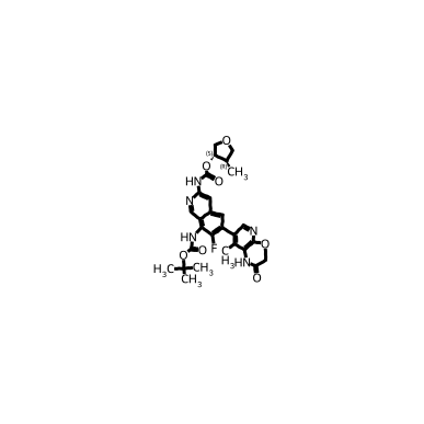 Cc1c(-c2cc3cc(NC(=O)O[C@@H]4COC[C@H]4C)ncc3c(NC(=O)OC(C)(C)C)c2F)cnc2c1NC(=O)CO2